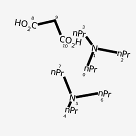 CCCN(CCC)CCC.CCCN(CCC)CCC.O=C(O)CC(=O)O